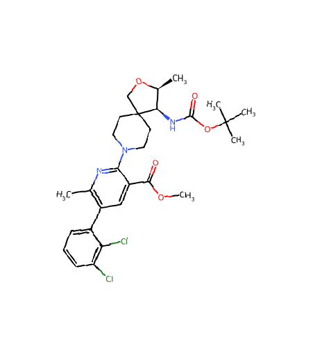 COC(=O)c1cc(-c2cccc(Cl)c2Cl)c(C)nc1N1CCC2(CC1)CO[C@@H](C)[C@H]2NC(=O)OC(C)(C)C